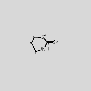 S=C1NCCCS1